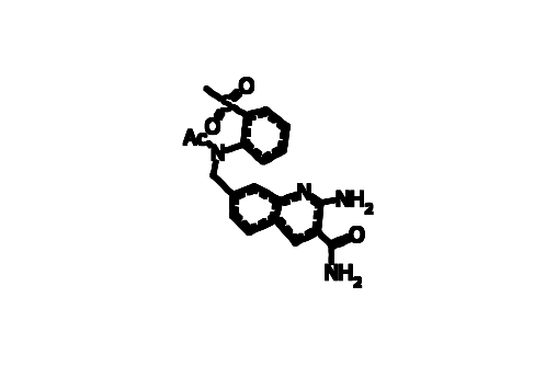 CC(=O)N(Cc1ccc2cc(C(N)=O)c(N)nc2c1)c1ccccc1S(C)(=O)=O